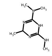 CNC1=NC(C)N=C(N(C)C)N1